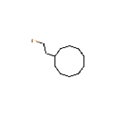 BrCC[C]1CCCCCCCCC1